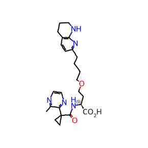 Cc1nccnc1C1(C(=O)N[C@@H](CCOCCCCc2ccc3c(n2)NCCC3)C(=O)O)CC1